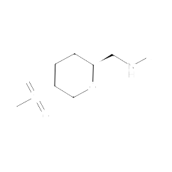 CS(=O)(=O)[C@@H]1CC[C@@H](CNCl)OC1